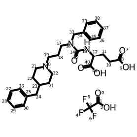 O=C(O)C(F)(F)F.O=C(O)CC[C@H](NC(=O)N(CCCN1CCC(Cc2ccccc2)CC1)Cc1ccccc1)C(=O)O